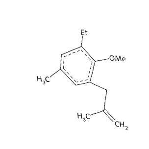 C=C(C)Cc1cc(C)cc(CC)c1OC